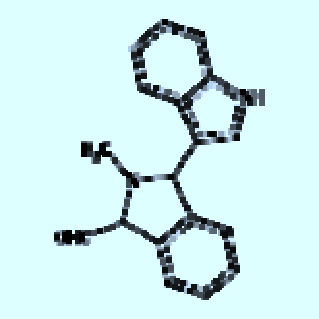 CN1C(C=O)c2ccccc2C1c1c[nH]c2ccccc12